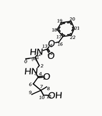 C[C@H](CNC(=O)CC(C)(C)CO)NC(=O)OCc1ccccc1